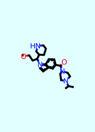 COCCC(C1CCCNC1)n1ccc2cc(C(=O)N3CCN(C(C)C)CC3)ccc21